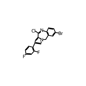 Fc1ccc(-c2cc3n(c2)Cc2cc(Br)ccc2N=C3Cl)c(F)c1